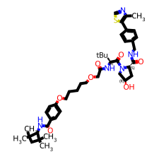 Cc1ncsc1-c1ccc(CNC(=O)[C@@H]2C[C@@H](O)CN2C(=O)[C@@H](NC(=O)COCCCCCOc2ccc(C(=O)NC3C(C)(C)CC3(C)C)cc2)C(C)(C)C)cc1